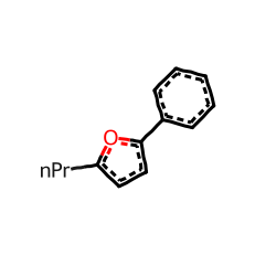 CCCc1ccc(-c2ccccc2)o1